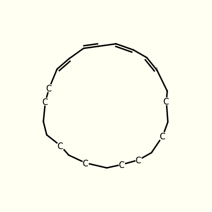 [C]1=C/C=C\C=C/C=C\CCCCCCCCCCCCCCC\1